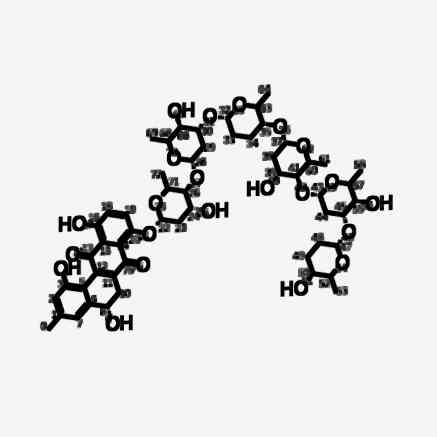 Cc1cc(O)c2c(c1)[C@@H](O)CC1=C2C(=O)c2c(O)ccc(O[C@H]3C[C@@H](O)[C@H](O[C@H]4C[C@@H](O[C@H]5CC[C@H](O[C@H]6C[C@@H](O)[C@H](O[C@H]7C[C@@H](O[C@H]8CC[C@H](O)C(C)O8)[C@H](O)C(C)O7)C(C)O6)C(C)O5)[C@H](O)C(C)O4)C(C)O3)c2C1=O